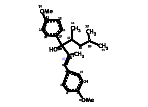 COc1ccc(/C=C(\C)C(O)(c2ccc(OC)cc2)C(C)CN(C)C)cc1